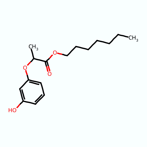 CCCCCCCOC(=O)C(C)Oc1cccc(O)c1